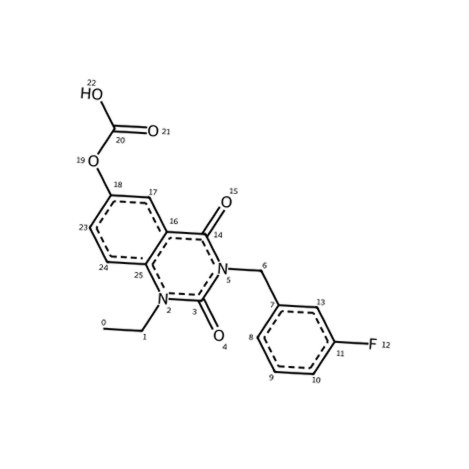 CCn1c(=O)n(Cc2cccc(F)c2)c(=O)c2cc(OC(=O)O)ccc21